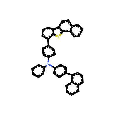 c1ccc(N(c2ccc(-c3cccc4ccccc34)cc2)c2ccc(-c3cccc4c3sc3c5ccccc5ccc43)cc2)cc1